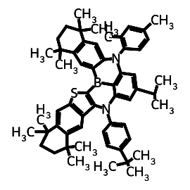 Cc1ccc(N2c3cc4c(cc3B3c5sc6cc7c(cc6c5N(c5ccc(C(C)(C)C)cc5)c5cc(C(C)C)cc2c53)C(C)(C)CCC7(C)C)C(C)(C)CCC4(C)C)c(C)c1